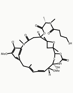 COc1cc2cc(c1Cl)N(C)C(=O)C[C@H](OC(=O)[C@H](C)N(C)C(=O)CCCS)[C@@]1(C)CC(C)(O1)C1C[C@@](O)(NC(=O)O1)[C@H](OC)/C=C/C=C(\C)C2